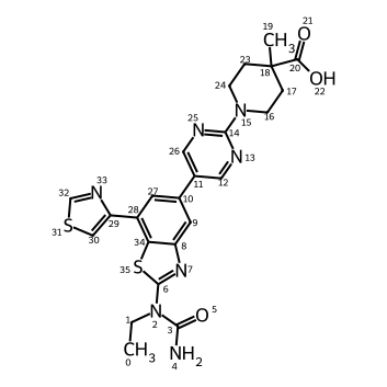 CCN(C(N)=O)c1nc2cc(-c3cnc(N4CCC(C)(C(=O)O)CC4)nc3)cc(-c3cscn3)c2s1